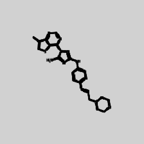 Cc1csc2c(-n3nc(Nc4ccc(/C=C/CN5CCOCC5)nc4)nc3N)ncnc12